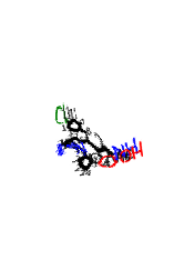 CO[C@H](CC(=O)NO)[C@H](Cc1ccc(Cl)cc1)c1ccnn1-c1ccccc1